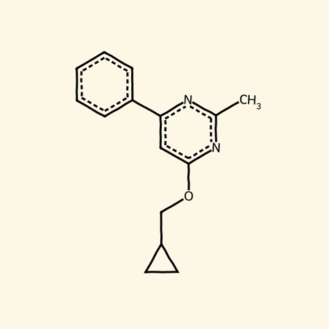 Cc1nc(OCC2CC2)cc(-c2ccccc2)n1